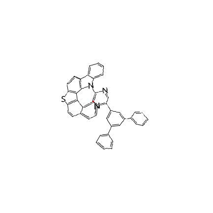 c1ccc(-c2cc(-c3ccccc3)cc(-c3cnc(-n4c5ccccc5c5ccc6sc7ccc8ccccc8c7c6c54)cn3)c2)cc1